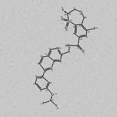 O=C(NCc1cc2nc(-c3cccc(OC(F)F)c3)ccc2cn1)c1cc(F)c2c(c1)S(=O)(=O)[C@@H](F)COC2